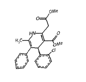 COC(=O)CC1=C(C(=O)OC)C(c2ccccc2Cl)C(c2ccccc2)=C(C)N1